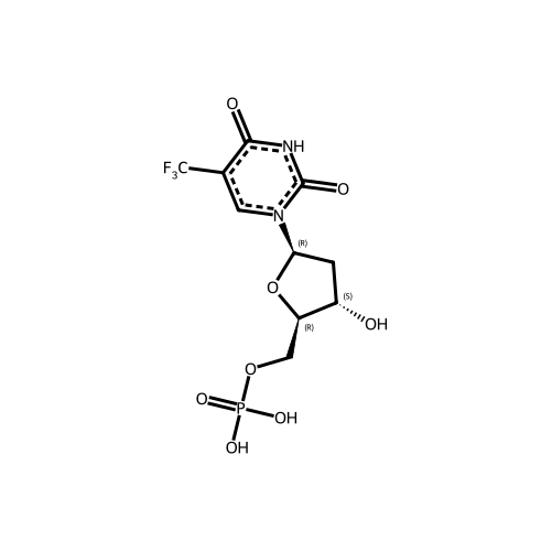 O=c1[nH]c(=O)n([C@H]2C[C@H](O)[C@@H](COP(=O)(O)O)O2)cc1C(F)(F)F